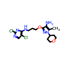 Cc1c(N)c(OCCCNc2nc(Cl)ncc2Cl)nn1C1CCOCC1